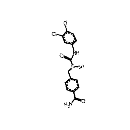 NC(=O)c1ccc(CN(S)C(=O)Nc2ccc(Cl)c(Cl)c2)cc1